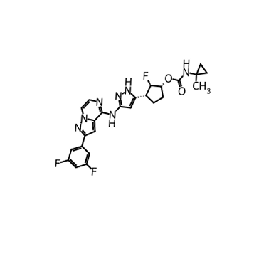 CC1(NC(=O)O[C@@H]2CC[C@H](c3cc(Nc4nccn5nc(-c6cc(F)cc(F)c6)cc45)n[nH]3)[C@H]2F)CC1